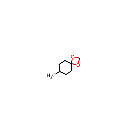 CC1CCC2(CC1)OCO2